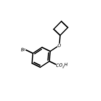 O=C(O)c1ccc(Br)cc1OC1CCC1